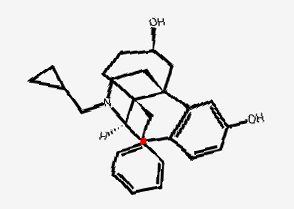 Oc1ccc2c(c1)[C@]13CCN(CC4CC4)[C@H](C2)[C@]1(Cc1ccccc1)CC[C@@H](O)C3